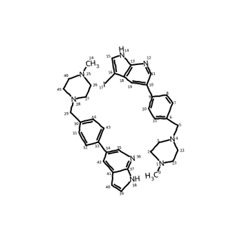 CN1CCN(Cc2ccc(-c3cnc4[nH]cc(I)c4c3)cc2)CC1.CN1CCN(Cc2ccc(-c3cnc4[nH]ccc4c3)cc2)CC1